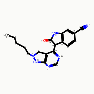 CCCCCN1Cc2c(ncnc2C2C(=O)Nc3cc(C#N)ccc32)N1